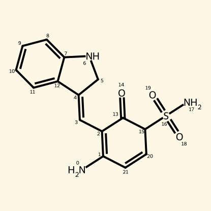 NC1=C(C=C2CNc3ccccc32)C(=O)C(S(N)(=O)=O)C=C1